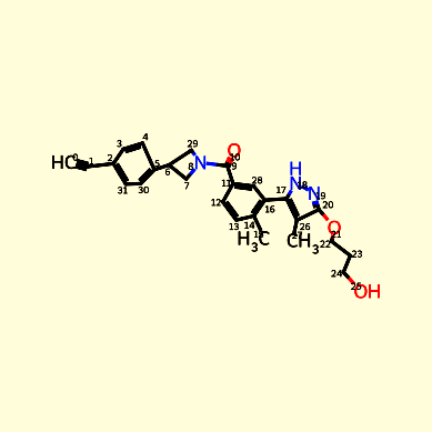 C#Cc1ccc(C2CN(C(=O)c3ccc(C)c(-c4[nH]nc(OCCCO)c4C)c3)C2)cc1